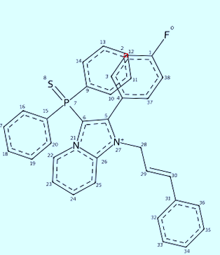 Fc1ccc(-c2c(P(=S)(c3ccccc3)c3ccccc3)n3ccccc3[n+]2CC=Cc2ccccc2)cc1